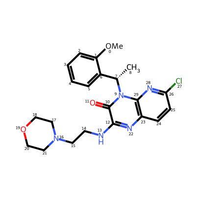 COc1ccccc1[C@H](C)n1c(=O)c(NCCN2CCOCC2)nc2ccc(Cl)nc21